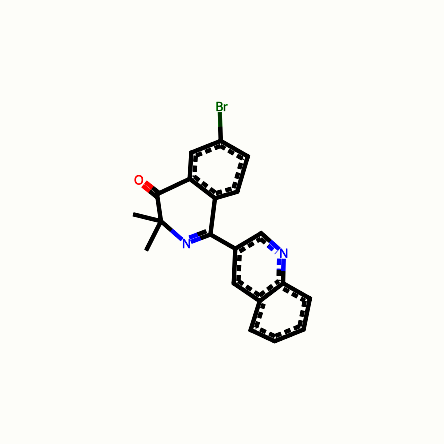 CC1(C)N=C(c2cnc3ccccc3c2)c2ccc(Br)cc2C1=O